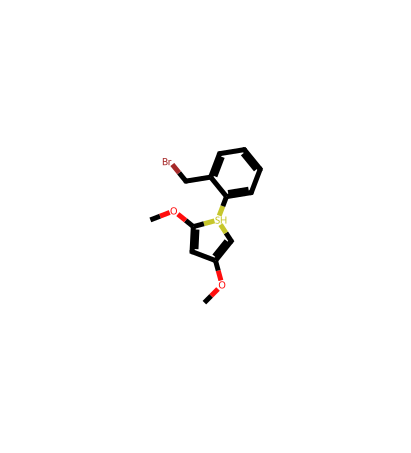 COC1=C[SH](c2ccccc2CBr)C(OC)=C1